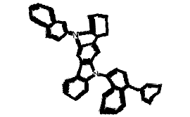 C1=CC2c3cc4c(cc3N(c3ccc(-c5ccccc5)c5ccccc35)C2C=C1)c1ccccc1n4-c1ccc2ccccc2c1